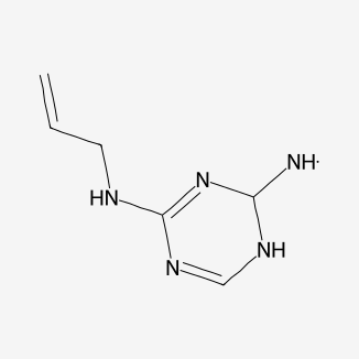 C=CCNC1=NC([NH])NC=N1